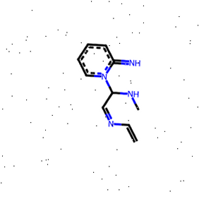 C=C/N=C\C(NC)n1ccccc1=N